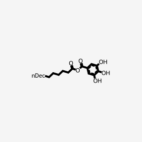 CCCCCCCCCCCCCCCC(=O)OC(=O)c1cc(O)c(O)c(O)c1